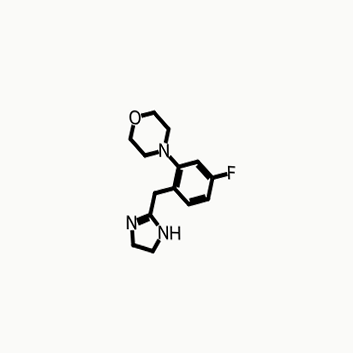 Fc1ccc(CC2=NCCN2)c(N2CCOCC2)c1